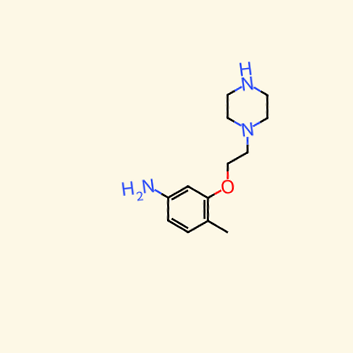 Cc1ccc(N)cc1OCCN1CCNCC1